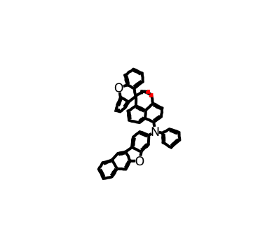 c1ccc(N(c2ccc3c(c2)oc2cc4ccccc4cc23)c2ccc3c4c(cccc24)C2(c4ccccc4Oc4ccccc42)c2ccccc2-3)cc1